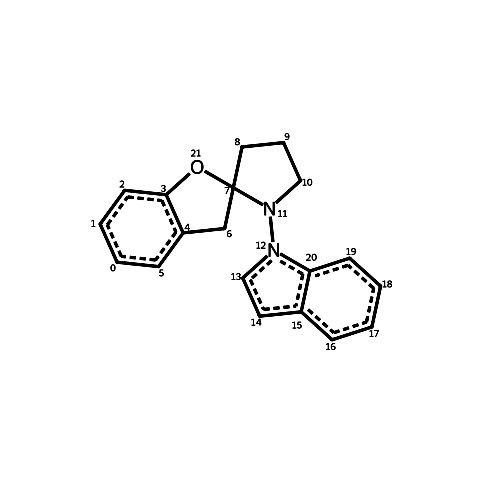 c1ccc2c(c1)CC1(CCCN1n1ccc3ccccc31)O2